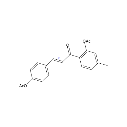 CC(=O)Oc1ccc(/C=C/C(=O)c2ccc(C)cc2OC(C)=O)cc1